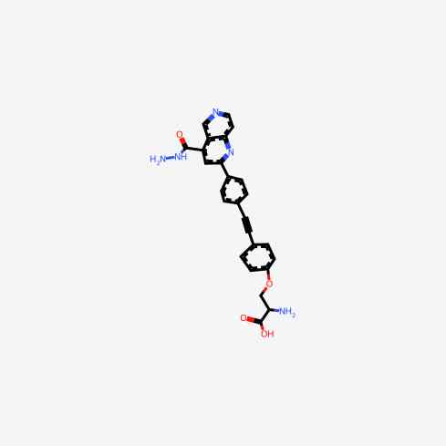 NNC(=O)c1cc(-c2ccc(C#Cc3ccc(OCC(N)C(=O)O)cc3)cc2)nc2ccncc12